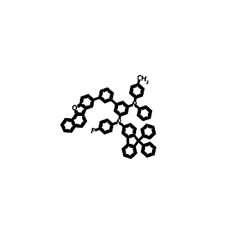 Cc1ccc(N(c2ccccc2)c2cc(-c3cccc(-c4ccc5oc6c7ccccc7ccc6c5c4)c3)cc(N(c3ccc(F)cc3)c3ccc4c(c3)-c3ccccc3C4(c3ccccc3)c3ccccc3)c2)cc1